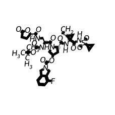 C=C[C@@H]1C[C@]1(NC(=O)[C@@H]1CC(OC(=O)N2Cc3cccc(F)c3C2)CN1C(=O)[C@H](CNC(=O)[C@H]1CCC(=O)O1)NC(=O)OC(C)(C)C)C(=O)NS(=O)(=O)C1CC1